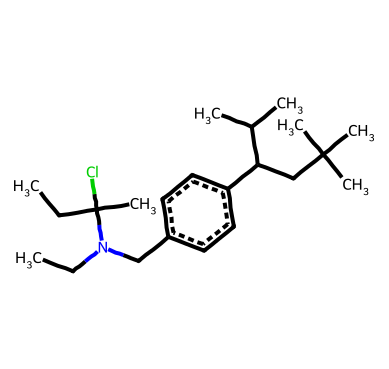 CCN(Cc1ccc(C(CC(C)(C)C)C(C)C)cc1)C(C)(Cl)CC